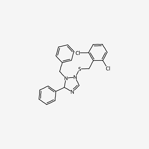 Clc1cccc(Cl)c1CSN1C=NC(c2ccccc2)N1Cc1ccccc1